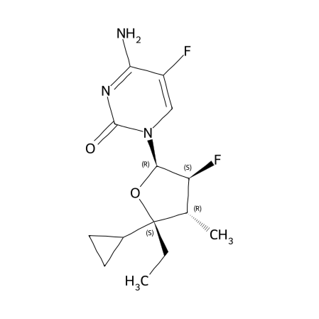 CC[C@@]1(C2CC2)O[C@@H](n2cc(F)c(N)nc2=O)[C@@H](F)[C@@H]1C